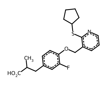 CC(Cc1ccc(OCc2cccnc2SC2CCCC2)c(F)c1)C(=O)O